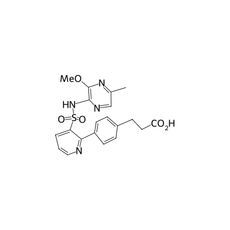 COc1nc(C)cnc1NS(=O)(=O)c1cccnc1-c1ccc(CCC(=O)O)cc1